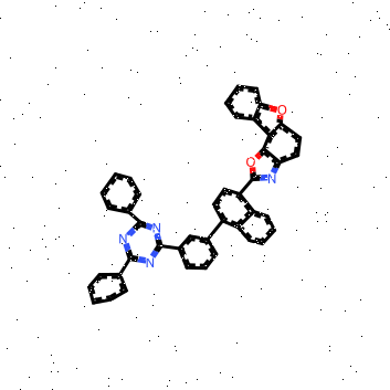 c1ccc(-c2nc(-c3ccccc3)nc(-c3cccc(-c4ccc(-c5nc6ccc7oc8ccccc8c7c6o5)c5ccccc45)c3)n2)cc1